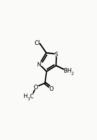 Bc1sc(Cl)nc1C(=O)OC